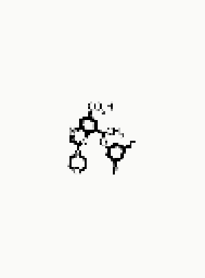 CC(Oc1cc(F)cc(F)c1)c1cc(C(=O)O)cc2ncc(N3CCOCC3)nc12